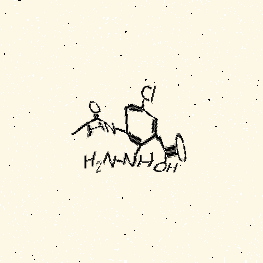 CC(=O)Nc1cc(Cl)cc(C(=O)O)c1NN